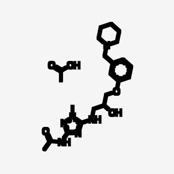 CC(=O)Nc1nc(NCC(O)COc2cccc(CN3CCCCC3)c2)n(C)n1.CC(=O)O